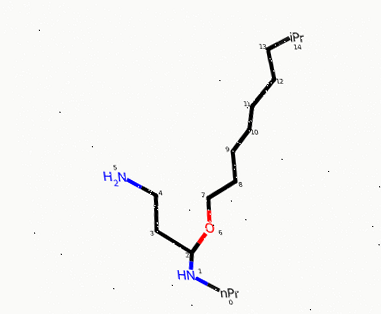 CCCNC(CCN)OCCCCCCCC(C)C